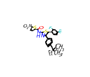 CCC(C)(C)c1ccc(-c2nc(NC(=O)c3ccc([N+](=O)[O-])s3)sc2-c2ccc(F)cc2F)cc1